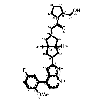 COc1ccc(F)cc1-c1ccnc2[nH]c(C3C[C@@H]4CN(CC(=O)N5CCC[C@H]5CO)C[C@@H]4C3)cc12